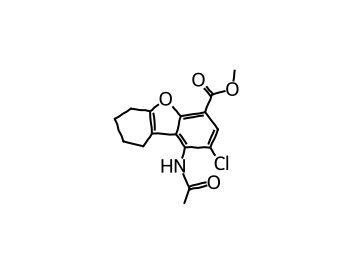 COC(=O)c1cc(Cl)c(NC(C)=O)c2c3c(oc12)CCCC3